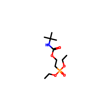 CCOP(=O)(CCOC(=O)NC(C)(C)C)OCC